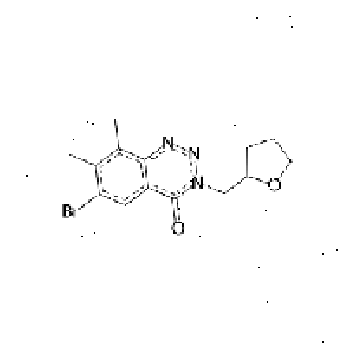 Cc1c(Br)cc2c(=O)n(CC3CCCO3)nnc2c1C